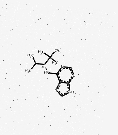 CC(C)[C@@H](Nc1ncnc2[nH]cnc12)C(C)(C)C